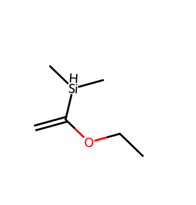 C=C(OCC)[SiH](C)C